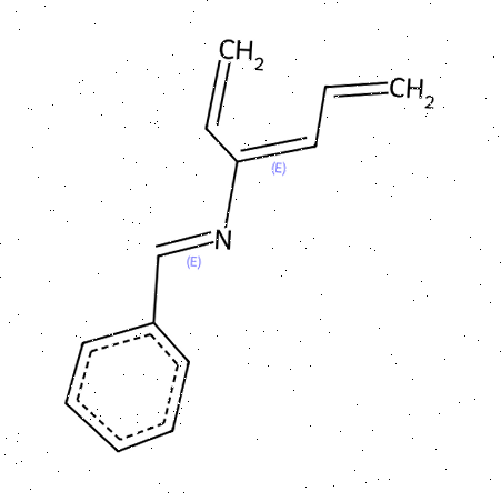 C=C/C=C(C=C)/N=C/c1ccccc1